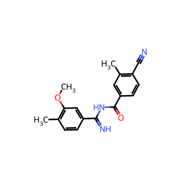 COc1cc(C(=N)NC(=O)c2ccc(C#N)c(C)c2)ccc1C